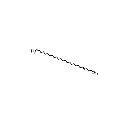 CCCC/C=C/CCCCCCCCCCCCCCCCCCCCC